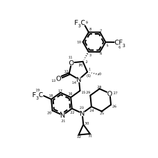 C[C@H]1[C@@H](c2cc(C(F)(F)F)cc(C(F)(F)F)c2)OC(=O)N1Cc1cc(C(F)(F)F)cnc1N(C1CCOCC1)C1CC1